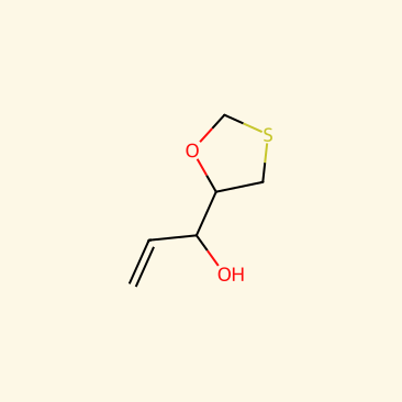 C=CC(O)C1CSCO1